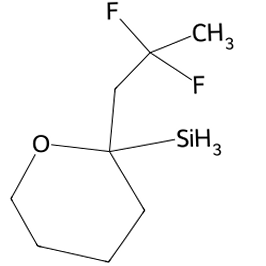 CC(F)(F)CC1([SiH3])CCCCO1